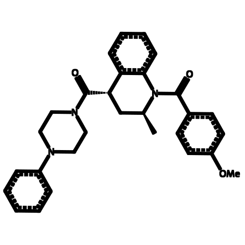 COc1ccc(C(=O)N2c3ccccc3[C@@H](C(=O)N3CCN(c4ccccc4)CC3)C[C@@H]2C)cc1